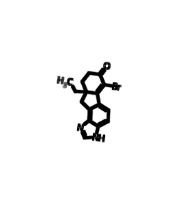 CCC12CCC(=O)C(Br)=C1c1ccc3[nH]cnc3c1C2